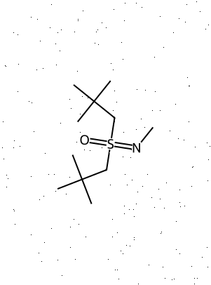 CN=S(=O)(CC(C)(C)C)CC(C)(C)C